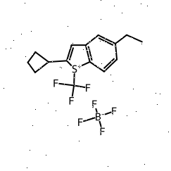 CCc1ccc2c(c1)cc(C1CCC1)[s+]2C(F)(F)F.F[B-](F)(F)F